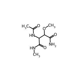 CNC(=O)C(NC(C)=O)C(OC)C(N)=O